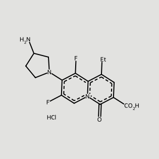 CCc1cc(C(=O)O)c(=O)n2cc(F)c(N3CCC(N)C3)c(F)c12.Cl